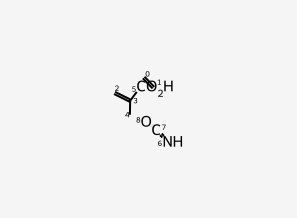 C=C.C=C(C)C(=O)O.N=C=O